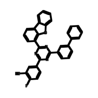 N#Cc1cc(-c2nc(-c3cccc(-c4ccccc4)c3)nc(-c3cccc4c3oc3ccccc34)n2)ccc1F